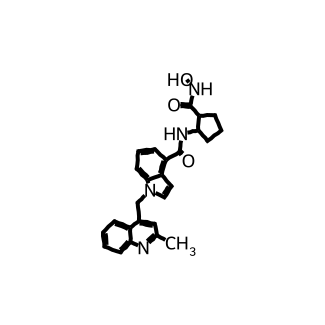 Cc1cc(Cn2ccc3c(C(=O)NC4CCCC4C(=O)NO)cccc32)c2ccccc2n1